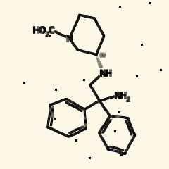 NC(CN[C@H]1CCCN(C(=O)O)C1)(c1ccccc1)c1ccccc1